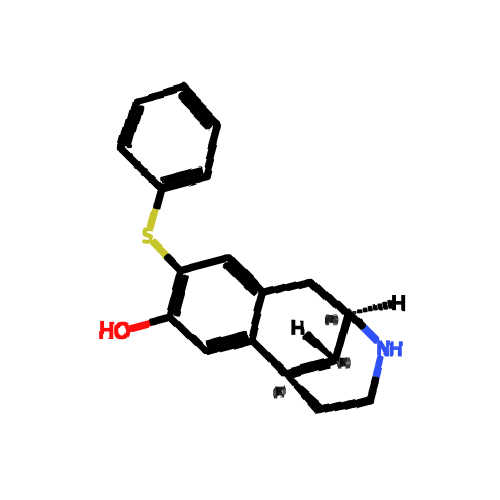 Oc1cc2c(cc1Sc1ccccc1)C[C@H]1NCC[C@@]23CCCC[C@@H]13